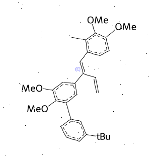 C=C/C(=C\c1ccc(OC)c(OC)c1C)c1cc(OC)c(OC)c(-c2cccc(C(C)(C)C)c2)c1